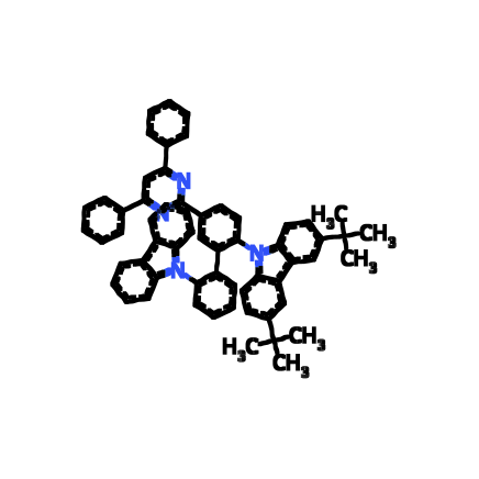 CC(C)(C)c1ccc2c(c1)c1cc(C(C)(C)C)ccc1n2-c1ccc(-c2nc(-c3ccccc3)cc(-c3ccccc3)n2)cc1-c1ccccc1-n1c2ccccc2c2ccccc21